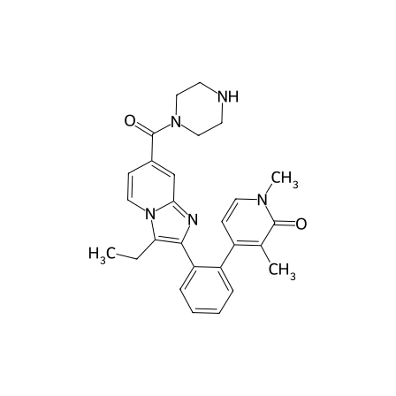 CCc1c(-c2ccccc2-c2ccn(C)c(=O)c2C)nc2cc(C(=O)N3CCNCC3)ccn12